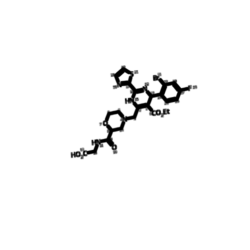 CCOC(=O)C1=C(CN2CCOC(C(=O)NCC(=O)O)C2)NC(c2nccs2)=NC1c1ccc(F)cc1Br